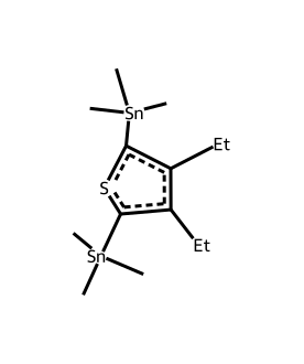 CCc1[c]([Sn]([CH3])([CH3])[CH3])s[c]([Sn]([CH3])([CH3])[CH3])c1CC